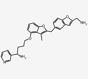 Cc1c(Cc2ccc3oc(CN)cc3c2)oc2cccc(OCCCC(N)c3cccnc3)c12